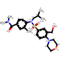 Cc1cc(C(=O)N(C)C)ccc1N(CC(C)C)S(=O)(=O)c1ccc(N2CCOCC2)c(CO)c1